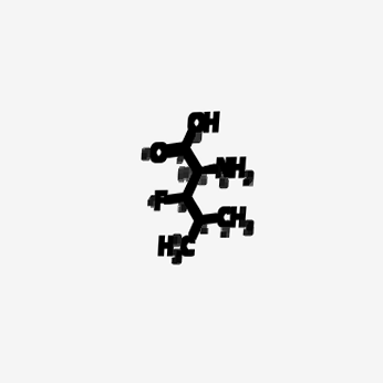 CC(C)C(F)[C@H](N)C(=O)O